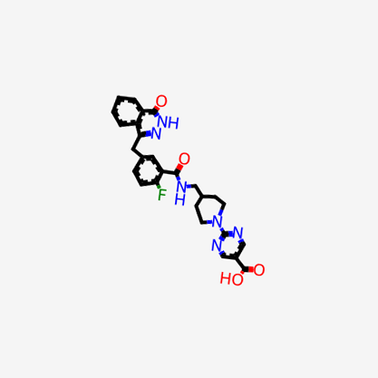 O=C(O)c1cnc(N2CCC(CNC(=O)c3cc(Cc4n[nH]c(=O)c5ccccc45)ccc3F)CC2)nc1